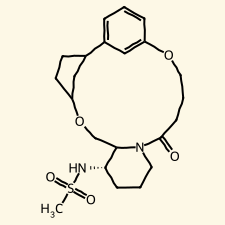 CS(=O)(=O)N[C@H]1CCCN2C(=O)CCCOc3cccc(c3)C3CCC(C3)OCC12